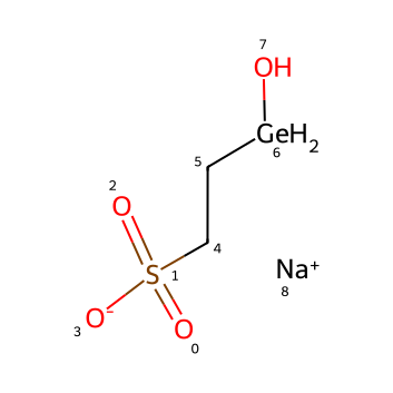 O=S(=O)([O-])C[CH2][GeH2][OH].[Na+]